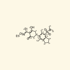 CCON=C(CC)C1=C(O)CC(c2c(C)c3c(c(S(=O)(=O)N(C)C)c2C)CCC3)CC1=O